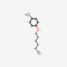 Cc1ccc(OCCCCCC(F)(F)F)cc1